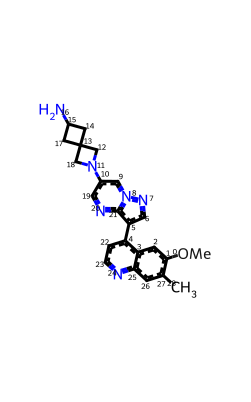 COc1cc2c(-c3cnn4cc(N5CC6(CC(N)C6)C5)cnc34)ccnc2cc1C